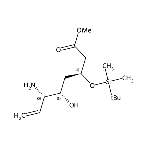 C=C[C@H](N)[C@@H](O)C[C@@H](CC(=O)OC)O[Si](C)(C)C(C)(C)C